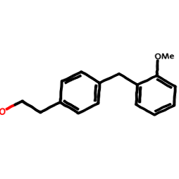 COc1ccccc1Cc1ccc(CCO)cc1